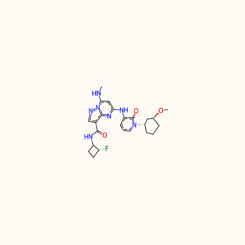 CNc1cc(Nc2cccn([C@H]3CCC[C@H](OC)C3)c2=O)nc2c(C(=O)NC3CC[C@H]3F)cnn12